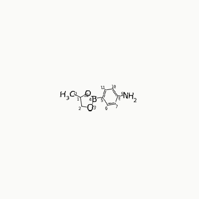 CC1COB(c2ccc(N)cc2)O1